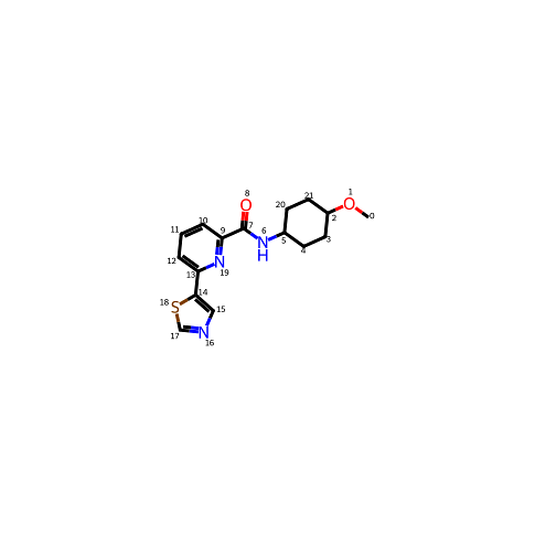 COC1CCC(NC(=O)c2cccc(-c3cncs3)n2)CC1